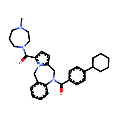 CN1CCCN(C(=O)c2ccc3n2Cc2ccccc2N(C(=O)c2ccc(C4CCCCC4)cc2)C3)CC1